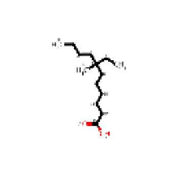 CCCCC(C)(CC)CCCCCC(=O)O